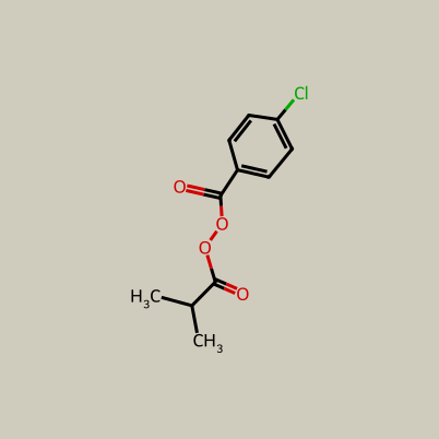 CC(C)C(=O)OOC(=O)c1ccc(Cl)cc1